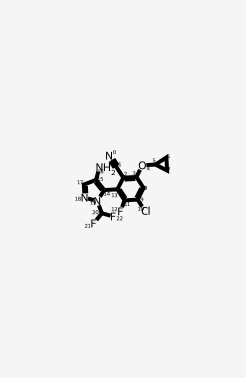 N#Cc1c(OC2CC2)cc(Cl)c(F)c1-c1c(N)cnn1C(F)F